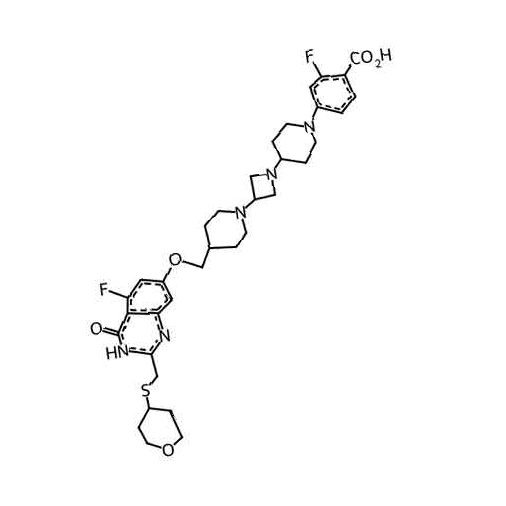 O=C(O)c1ccc(N2CCC(N3CC(N4CCC(COc5cc(F)c6c(=O)[nH]c(CSC7CCOCC7)nc6c5)CC4)C3)CC2)cc1F